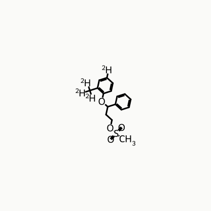 [2H]c1ccc(OC(CCOS(C)(=O)=O)c2ccccc2)c(C([2H])([2H])[2H])c1